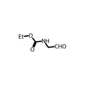 CCOC(=O)NCC=O